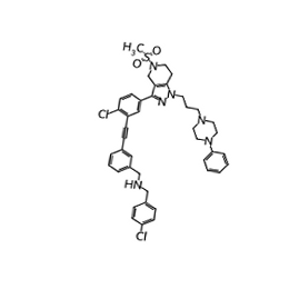 CS(=O)(=O)N1CCc2c(c(-c3ccc(Cl)c(C#Cc4cccc(CNCc5ccc(Cl)cc5)c4)c3)nn2CCCN2CCN(c3ccccc3)CC2)C1